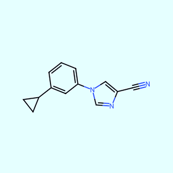 N#Cc1cn(-c2cccc(C3CC3)c2)cn1